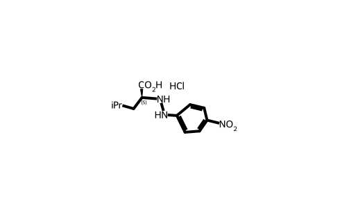 CC(C)C[C@H](NNc1ccc([N+](=O)[O-])cc1)C(=O)O.Cl